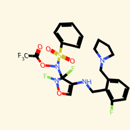 O=C(ON(C1(F)C(NCc2c(F)cccc2CN2CCCC2)=CON1F)S(=O)(=O)c1ccccc1)C(F)(F)F